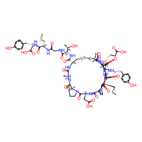 CSC[C@H](NC(=O)CNC(=O)[C@@H](NC(=O)[C@@H]1CSSC[C@@H]2NC(=O)[C@@H](N)CSSC[C@H](NC(=O)[C@H](CSC)NC(=O)[C@H](Cc3ccc(O)cc3)NC(=O)[C@H](CCC(=O)O)NC2=O)C(=O)N[C@@H](CC(=O)O)C(=O)N2CCC[C@H]2C(=O)N[C@@H](C)C(=O)N1)[C@@H](C)O)C(=O)N[C@@H](Cc1ccc(O)cc1)C(=O)O